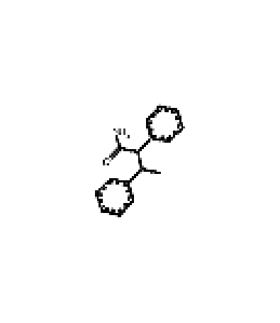 CC(c1ccccc1)C(C(N)=O)c1ccccc1